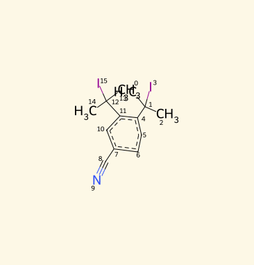 CC(C)(I)c1ccc(C#N)cc1C(C)(C)I